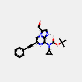 CC(C)(C)OC(=O)N(c1nc(C#Cc2ccccc2)cn2c(C=O)cnc12)C1CC1